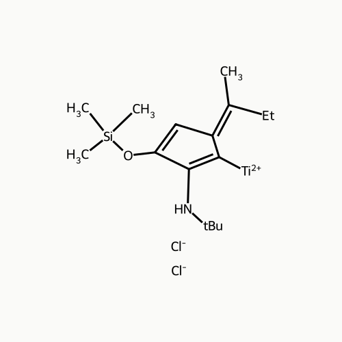 CCC(C)=C1C=C(O[Si](C)(C)C)C(NC(C)(C)C)=[C]1[Ti+2].[Cl-].[Cl-]